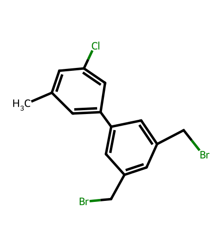 Cc1cc(Cl)cc(-c2cc(CBr)cc(CBr)c2)c1